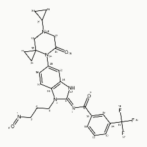 O=NCCCn1/c(=N/C(=O)c2cccc(C(F)(F)F)c2)[nH]c2cc(N3C(=O)CN(C4CC4)CC34CC4)ccc21